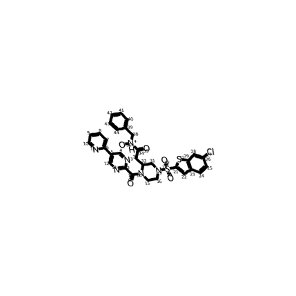 O=C(c1ncc(-c2ccccn2)cn1)N1CCN(S(=O)(=O)c2cc3ccc(Cl)cc3s2)CC1CC(=O)[NH+]([O-])Cc1ccccc1